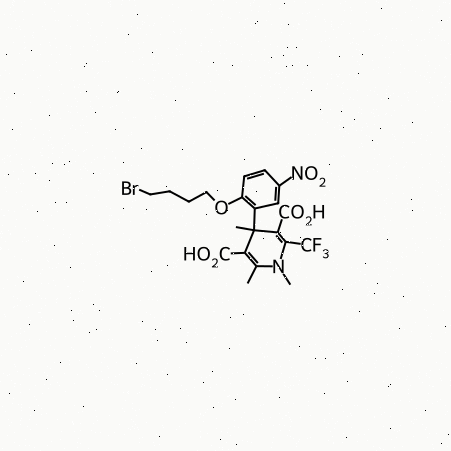 CC1=C(C(=O)O)C(C)(c2cc([N+](=O)[O-])ccc2OCCCCBr)C(C(=O)O)=C(C(F)(F)F)N1C